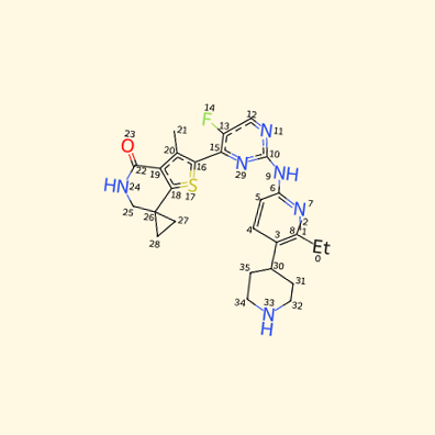 CC/C(C)=C(/C=C\C(=N/C)Nc1ncc(F)c(-c2sc3c(c2C)C(=O)NCC32CC2)n1)C1CCNCC1